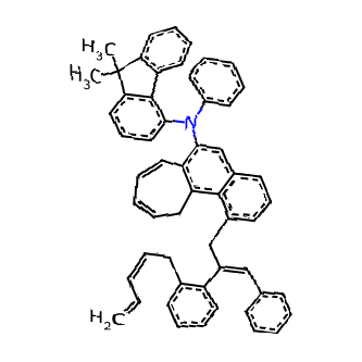 C=C/C=C\Cc1ccccc1/C(=C\c1ccccc1)Cc1cccc2cc(N(c3ccccc3)c3cccc4c3-c3ccccc3C4(C)C)c3c(c12)CC=CC=C3